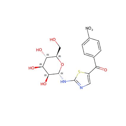 O=C(c1ccc([N+](=O)[O-])cc1)c1cnc(N[C@H]2O[C@H](CO)[C@@H](O)[C@H](O)[C@@H]2O)s1